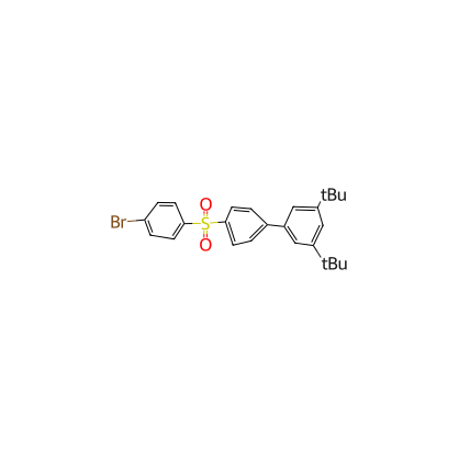 CC(C)(C)c1cc(-c2ccc(S(=O)(=O)c3ccc(Br)cc3)cc2)cc(C(C)(C)C)c1